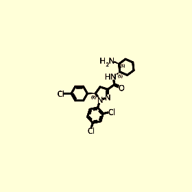 N[C@H]1CCCC[C@@H]1NC(=O)C1=NN(c2ccc(Cl)cc2Cl)[C@@H](C2C=CC(Cl)=CC2)C1